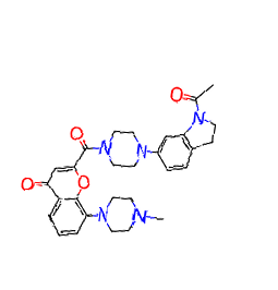 CC(=O)N1CCc2ccc(N3CCN(C(=O)c4cc(=O)c5cccc(N6CCN(C)CC6)c5o4)CC3)cc21